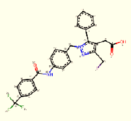 O=C(O)Cc1c(CI)nn(Cc2ccc(NC(=O)c3ccc(C(F)(F)F)cc3)cc2)c1-c1ccccc1